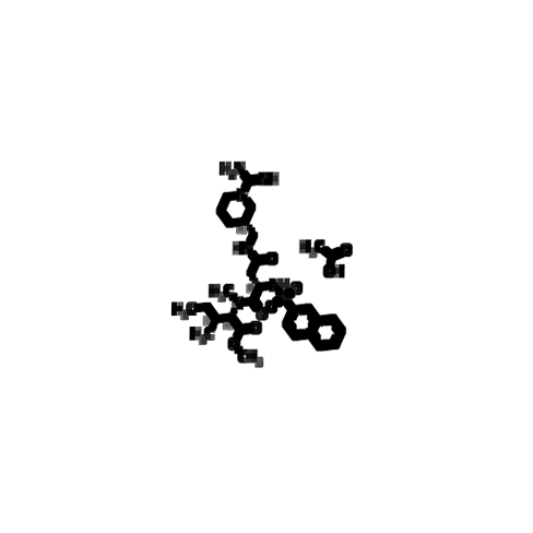 CC(=O)O.CC[C@H](C)[C@@H](C(=O)OC)N(C)C(=O)[C@H](CC(=O)NC[C@@H]1CCCN(C(=N)N)C1)NS(=O)(=O)c1ccc2ccccc2c1